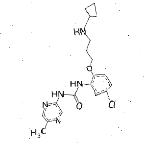 Cc1cnc(NC(=O)Nc2cc(Cl)ccc2OCCCNC2CCC2)cn1